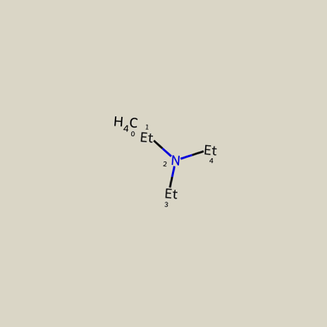 C.CCN(CC)CC